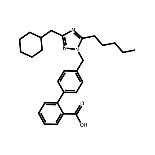 CCCCCc1nc(CC2CCCCC2)nn1Cc1ccc(-c2ccccc2C(=O)O)cc1